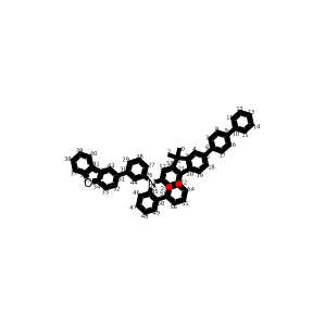 CC1(C)c2cc(-c3ccc(-c4ccccc4)cc3)ccc2-c2ccc(N(c3cccc(-c4ccc5oc6ccccc6c5c4)c3)c3ccccc3-c3ccccc3)cc21